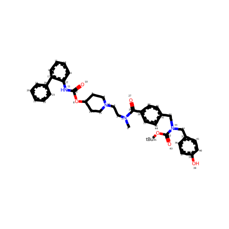 CN(CCN1CCC(OC(=O)Nc2ccccc2-c2ccccc2)CC1)C(=O)c1ccc(CN(Cc2ccc(O)cc2)C(=O)OC(C)(C)C)cc1